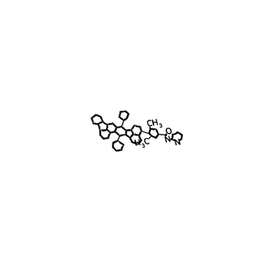 Cc1cc(-c2nc3ncccc3o2)cc(C)c1-c1ccc2c3c(-c4ccccc4)c4cc5c6ccccc6c6cccc(c4c(-c4ccccc4)c3c3cccc1c23)c65